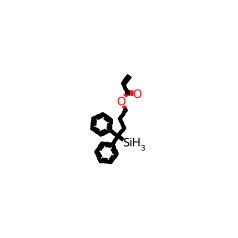 C=CC(=O)OCCCC([SiH3])(c1ccccc1)c1ccccc1